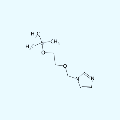 C[Si](C)(C)OCCOCn1ccnc1